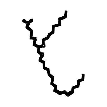 CCCCC/C=C\C/C=C\CCCCCCCCOCC(CSSCCN(C)C)OCCCCCCCCC